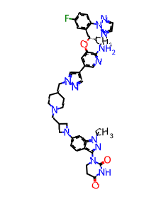 C[C@H](Oc1cc(-c2cnn(CC3CCN(CC4CN(c5ccc6c(N7CCC(=O)NC7=O)nn(C)c6c5)C4)CC3)c2)cnc1N)c1cc(F)ccc1-n1nccn1